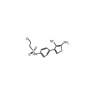 N#Cc1c(-c2ccc(NS(=O)(=O)CCCl)cc2)csc1N